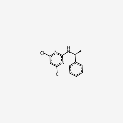 C[C@H](Nc1nc(Cl)cc(Cl)n1)c1ccccc1